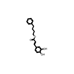 O=C(/C=C/c1ccc(O)c(O)c1)OCCCCc1ccccc1